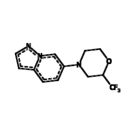 FC(F)(F)C1CN(c2ccc3ccnn3c2)CCO1